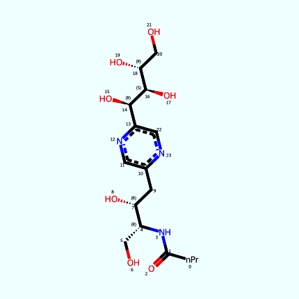 CCCC(=O)N[C@H](CO)[C@H](O)Cc1cnc([C@@H](O)[C@H](O)[C@H](O)CO)cn1